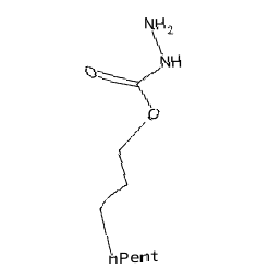 CCCCCCCCOC(=O)NN